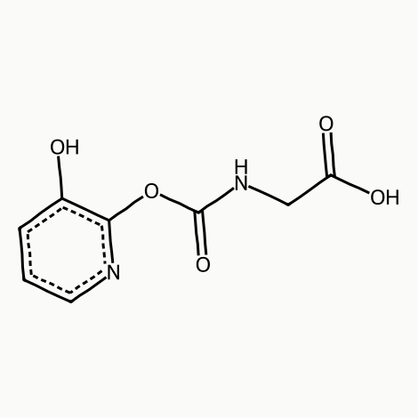 O=C(O)CNC(=O)Oc1ncccc1O